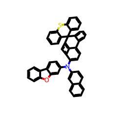 c1ccc2c(c1)Sc1ccccc1C21c2ccccc2-c2ccc(N(c3ccc4ccccc4c3)c3ccc4c(c3)oc3ccccc34)c3cccc1c23